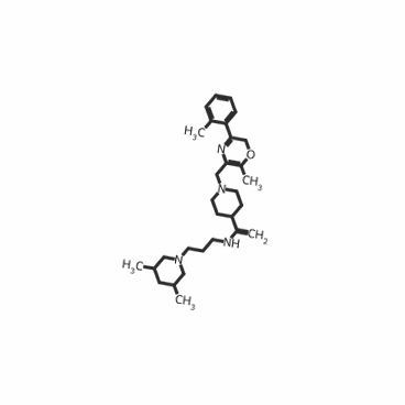 C=C(NCCCN1CC(C)CC(C)C1)C1CCN(CC2=C(C)OCC(c3ccccc3C)=N2)CC1